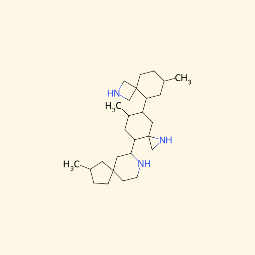 CC1CCC2(CNC2)C(C2CC3(CN3)C(C3CC4(CCN3)CCC(C)C4)CC2C)C1